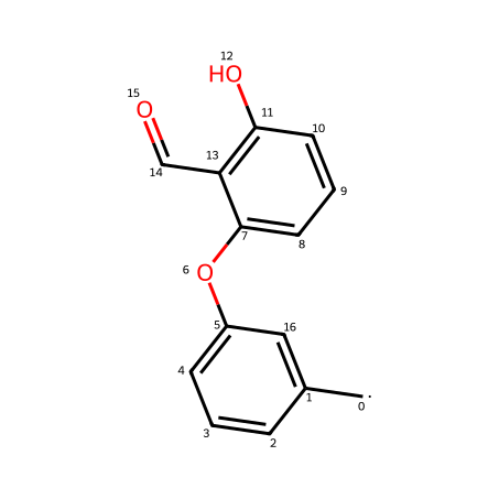 [CH2]c1cccc(Oc2cccc(O)c2C=O)c1